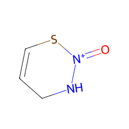 O=[N+]1NCC=CS1